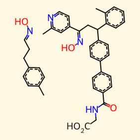 Cc1cc(C(CC(c2ccc(-c3ccc(C(=O)NCC(=O)O)cc3)cc2)c2ccccc2C)=NO)ccn1.Cc1ccc(CCC=NO)cc1